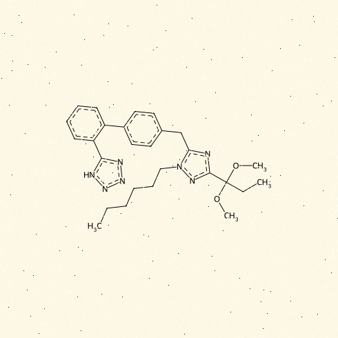 CCCCCCn1nc(C(CC)(OC)OC)nc1Cc1ccc(-c2ccccc2-c2nnn[nH]2)cc1